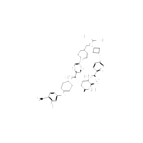 CC(C)N(CC1CCN(c2cnc(C(=O)N[C@H]3CC[C@H](Oc4ccc(C#N)c(Cl)c4)CC3)cn2)CC1)[C@H]1C[C@H](Oc2ccc(C(=O)NC3CCC(=O)NC3=O)nc2)C1